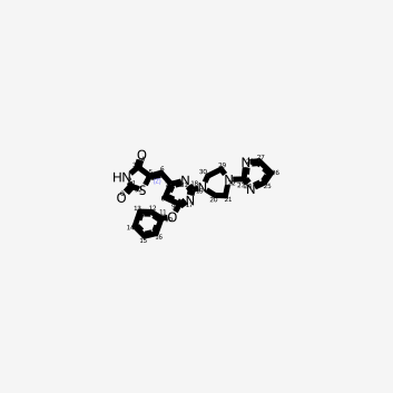 O=C1NC(=O)/C(=C/c2cc(Oc3ccccc3)nc(N3CCN(c4ncccn4)CC3)n2)S1